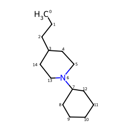 CCCC1CCN(C2CCCCC2)CC1